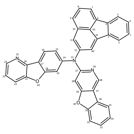 c1ccc2c(c1)-c1cccc3cc(N(c4ccc5c(c4)oc4cccnc45)c4cc5oc6ccccc6c5cn4)cc-2c13